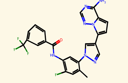 Cc1cc(F)c(NC(=O)c2cccc(C(F)(F)F)c2)cc1-n1cc(-c2ccc3c(N)ncnn23)cn1